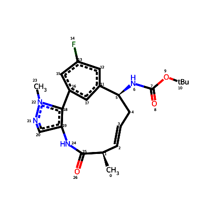 C[C@@H]1/C=C/C[C@H](NC(=O)OC(C)(C)C)c2cc(F)cc(c2)-c2c(cnn2C)NC1=O